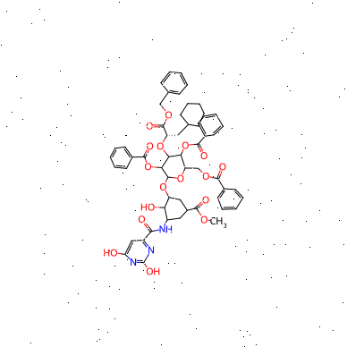 COC(=O)C1CC(NC(=O)c2cc(O)nc(O)n2)C(O)C(OC2OC(COC(=O)c3ccccc3)C(OC(=O)c3ccccc3)C(O[C@@H](CC3CCCCC3)C(=O)OCc3ccccc3)C2OC(=O)c2ccccc2)C1